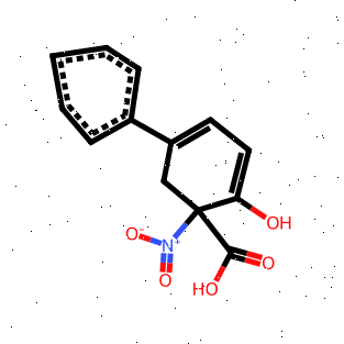 O=C(O)C1([N+](=O)[O-])CC(c2ccccc2)=CC=C1O